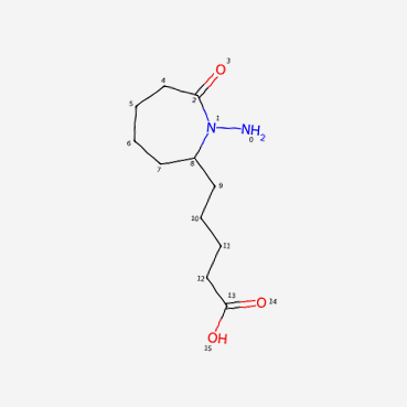 NN1C(=O)CCCCC1CCCCC(=O)O